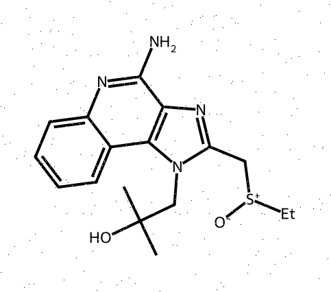 CC[S+]([O-])Cc1nc2c(N)nc3ccccc3c2n1CC(C)(C)O